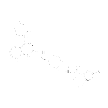 O=S(=O)(NC[C@H]1CC[C@H](CNc2nc(N3CCOCC3)c3ccccc3n2)CC1)c1cc(Cl)sc1Cl